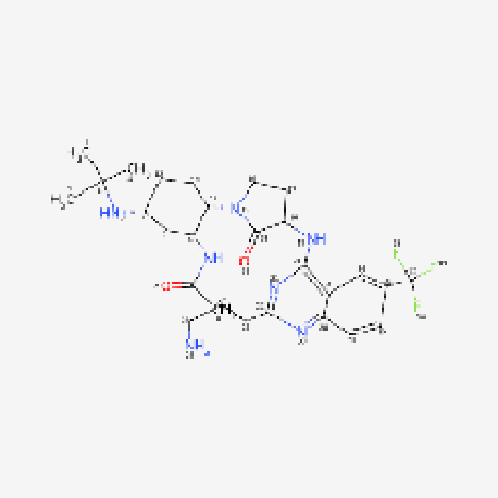 CC(=O)N[C@@H]1C[C@H](NC(C)(C)C)CC[C@@H]1N1CCC(Nc2nc(CCCN)nc3ccc(C(F)(F)F)cc23)C1=O